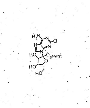 CCCCCO[C@@]1(n2cnc3c(N)nc(Cl)nc32)O[C@H](CO)[C@@H](O)[C@H]1O